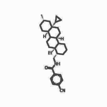 CC[C@]12CCC3[C@@H](CC[C@]4(C5CC5)C[C@@H](C)CC[C@H]34)C1CCC[C@@H]2CNC(=O)c1ccc(C#N)cc1